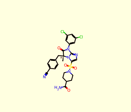 C[C@@]1(Cc2ccc(C#N)cc2)C(=O)N(c2cc(Cl)cc(Cl)c2)c2ncc(S(=O)(=O)N3CCC(C(N)=O)CC3)n21